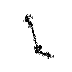 O=C(CCN1C(=O)CC(S)C1=O)NCCC(=O)N1Cc2ccccc2-c2c(nnn2CCOCCOCCOCCOCCOCCNC(=O)c2ccc(-c3cc(=O)c4ccc(O)c(O)c4o3)cc2)-c2ccccc21